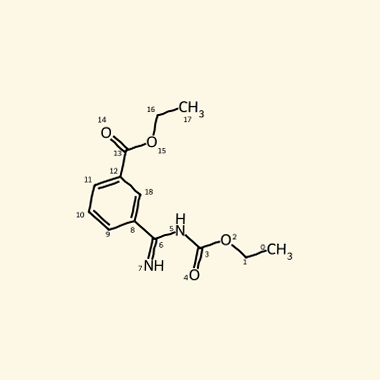 CCOC(=O)NC(=N)c1cccc(C(=O)OCC)c1